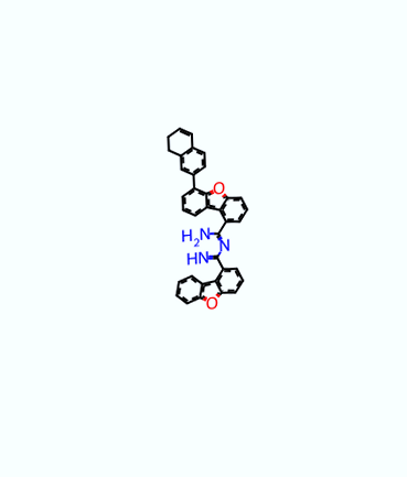 N=C(/N=C(\N)c1cccc2oc3c(-c4ccc5c(c4)CCC=C5)cccc3c12)c1cccc2oc3ccccc3c12